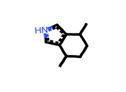 CC1CCC(C)c2c[nH]cc21